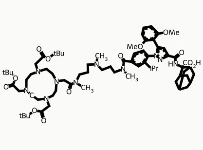 COc1cccc(OC)c1-c1cc(C(=O)NC2(C(=O)O)C3CC4CC(C3)CC2C4)nn1-c1ccc(C(=O)N(C)CCCN(C)CCCN(C)C(=O)CN2CCN(CC(=O)OC(C)(C)C)CCN(CC(=O)OC(C)(C)C)CCN(CC(=O)OC(C)(C)C)CC2)cc1C(C)C